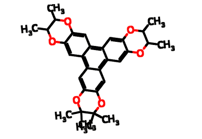 CC1Oc2cc3c4cc5c(cc4c4cc6c(cc4c3cc2OC1C)OC(C)(C)C(C)(C)O6)OC(C)C(C)O5